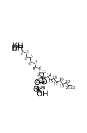 CCCCCCCCCCCCC(C)(CCCCCCCCC)OC(=O)CC(=O)O.[KH].[LiH]